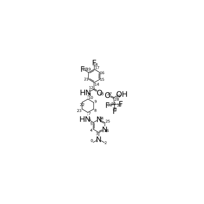 CN(C)c1cc(N[C@H]2CC[C@@H](NC(=O)c3ccc(F)c(F)c3)CC2)ncn1.O=C(O)C(F)(F)F